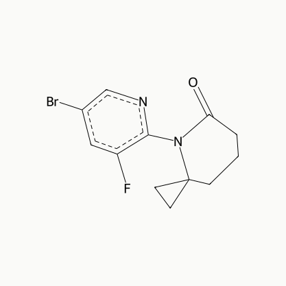 O=C1CCCC2(CC2)N1c1ncc(Br)cc1F